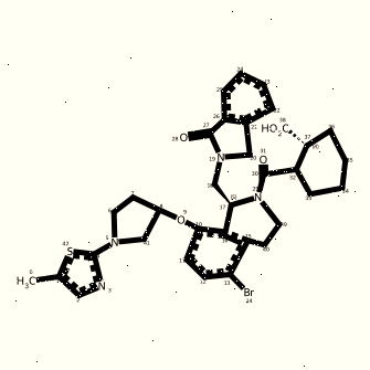 Cc1cnc(N2CCC(Oc3ccc(Br)c4c3[C@@H](CN3Cc5ccccc5C3=O)N(C(=O)C3CCCC[C@H]3C(=O)O)CC4)C2)s1